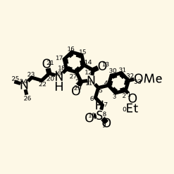 CCOc1cc(C(CC[SH](=O)=O)N2C(=O)c3cccc(NC(=O)CCN(C)C)c3C2=O)ccc1OC